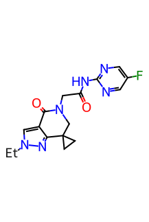 CCn1cc2c(n1)C1(CC1)CN(CC(=O)Nc1ncc(F)cn1)C2=O